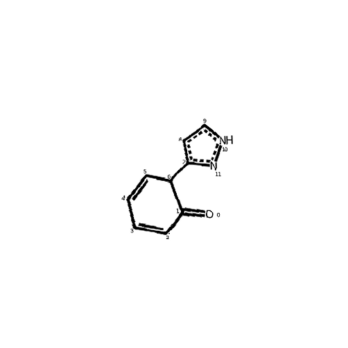 O=C1[C]=CC=CC1c1cc[nH]n1